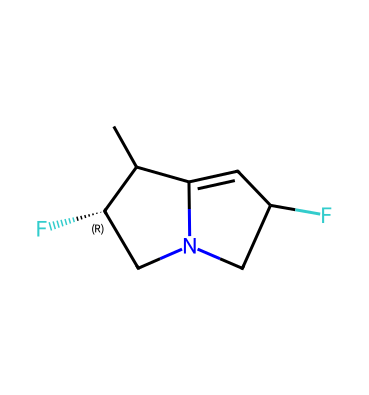 CC1C2=CC(F)CN2C[C@@H]1F